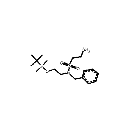 CC(C)(C)[Si](C)(C)OCCN(Cc1ccccc1)S(=O)(=O)CCN